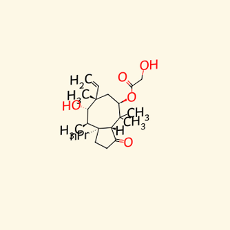 C=C[C@]1(C)C[C@@H](OC(=O)CO)C(C)(C)[C@@H]2C(=O)CC[C@@]2(CCC)[C@@H](C)[C@@H]1O